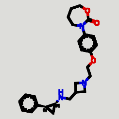 O=C1OCCCCN1c1ccc(OCCN2CC(CN[C@@H]3C[C@H]3c3ccccc3)C2)cc1